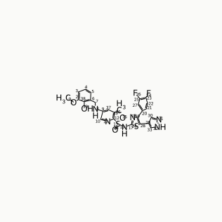 COc1cccc(CNc2cnc(S(=O)(=O)Nc3nc(-c4ccc(F)c(F)c4)c(-c4cn[nH]c4)s3)c(C)c2)c1O